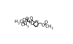 CC(=O)OCc1ccc2c(n1)C(=O)N(C(=O)OC(C)(C)C)C2